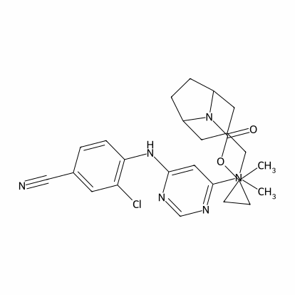 CN(CC1CC2CCC(C1)N2C(=O)OC1(C)CC1)c1cc(Nc2ccc(C#N)cc2Cl)ncn1